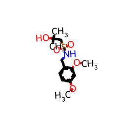 COc1ccc(CNS(=O)(=O)CC(C)(C)O)c(OC)c1